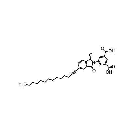 CCCCCCCCCCCCC#Cc1ccc2c(c1)C(=O)N(c1cc(C(=O)O)cc(C(=O)O)c1)C2=O